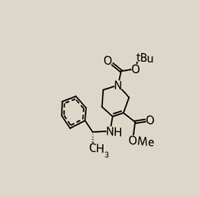 COC(=O)C1=C(N[C@H](C)c2ccccc2)CCN(C(=O)OC(C)(C)C)C1